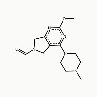 COc1nc2c(c(N3CCN(C)CC3)n1)CN(C=O)C2